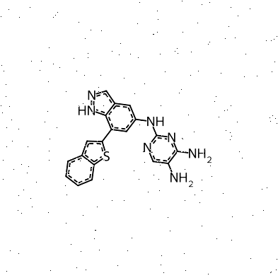 Nc1cnc(Nc2cc(-c3cc4ccccc4s3)c3[nH]ncc3c2)nc1N